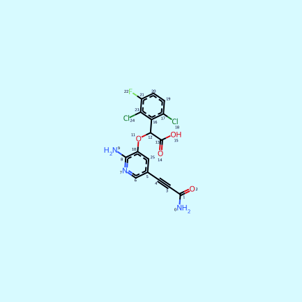 NC(=O)C#Cc1cnc(N)c(OC(C(=O)O)c2c(Cl)ccc(F)c2Cl)c1